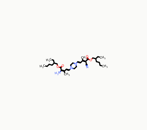 CCCCC(CC)COC(=O)/C(N)=C(C)\C=C\N1CCN(/C=C/C(C)=C(\C#N)C(=O)OCC(CC)CCCC)CC1